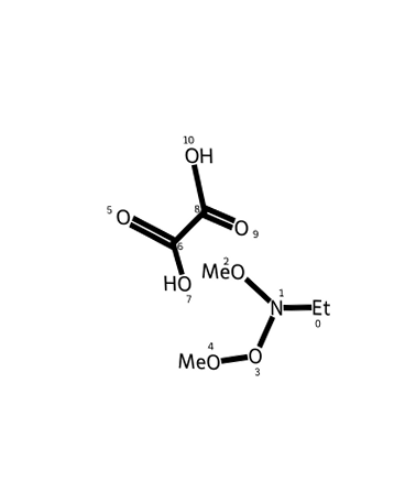 CCN(OC)OOC.O=C(O)C(=O)O